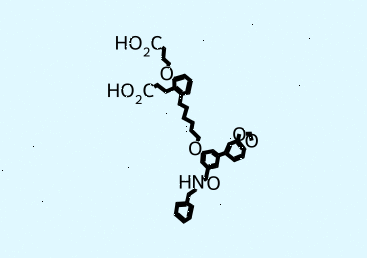 O=C(O)CCCOc1cccc(CCCCCCOc2cc(C(=O)NCCc3ccccc3)cc(-c3ccc4c(c3)OCO4)c2)c1CCC(=O)O